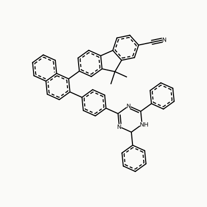 CC1(C)c2cc(C#N)ccc2-c2ccc(-c3c(-c4ccc(C5=NC(c6ccccc6)NC(c6ccccc6)=N5)cc4)ccc4ccccc34)cc21